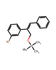 CC(C)(C)[Si](C)(C)OC/C(=C\c1ccccc1)c1cccc(Br)c1